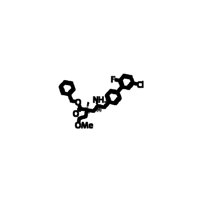 COCC[C@](C)(C[C@H](N)Cc1ccc(-c2cc(Cl)ccc2F)cc1)C(=O)OCc1ccccc1